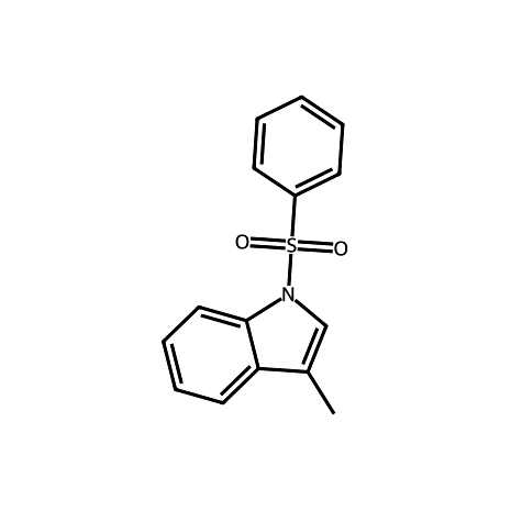 Cc1cn(S(=O)(=O)c2ccccc2)c2ccccc12